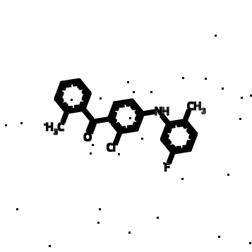 Cc1ccc(F)cc1Nc1ccc(C(=O)c2ccccc2C)c(Cl)c1